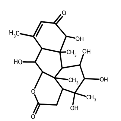 CC1=CC(=O)C(O)C2(C)C1C(O)C1OC(=O)CC3C(C)(O)C(O)C(O)C2C13C